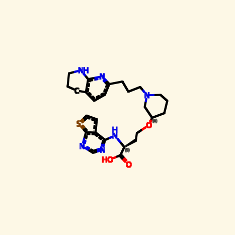 O=C(O)[C@H](CCO[C@@H]1CCCN(CCCc2ccc3c(n2)NCCC3)C1)Nc1ncnc2sccc12